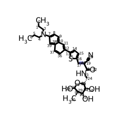 CCCN(CCC)c1ccc2cc(-c3ccc(/C=C(\C#N)C(=O)NC[C@H]4OC(O)[C@H](C)[C@@H](O)[C@@H]4O)s3)ccc2c1